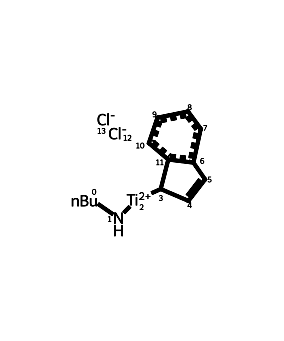 CCCC[NH][Ti+2][CH]1C=Cc2ccccc21.[Cl-].[Cl-]